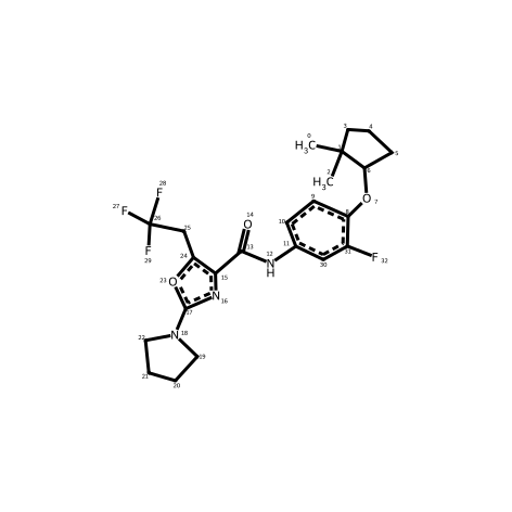 CC1(C)CCCC1Oc1ccc(NC(=O)c2nc(N3CCCC3)oc2CC(F)(F)F)cc1F